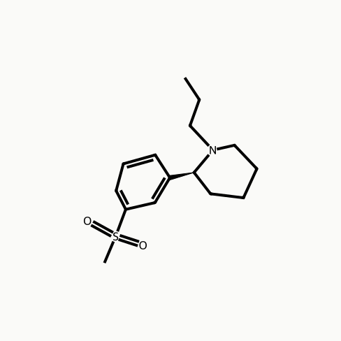 CCCN1CCCC[C@H]1c1cccc(S(C)(=O)=O)c1